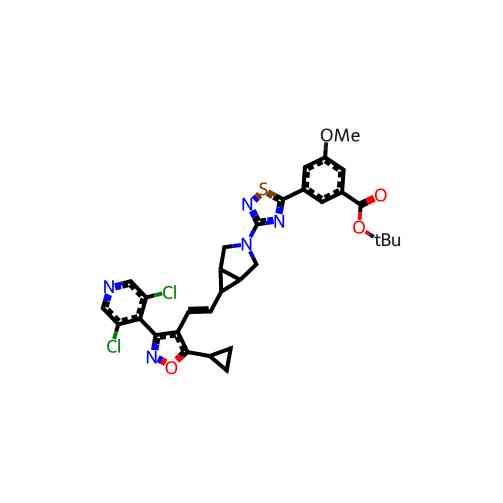 COc1cc(C(=O)OC(C)(C)C)cc(-c2nc(N3CC4C(/C=C/c5c(-c6c(Cl)cncc6Cl)noc5C5CC5)C4C3)ns2)c1